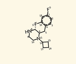 Fc1ccc(CC2CNCCN2C2CCC2)c(F)c1